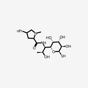 CCCC1CC(C(=O)N[C@@H]([C@H]2O[C@H](S)[C@H](O)[C@@H](O)[C@H]2O)[C@H](C)O)N(C)C1